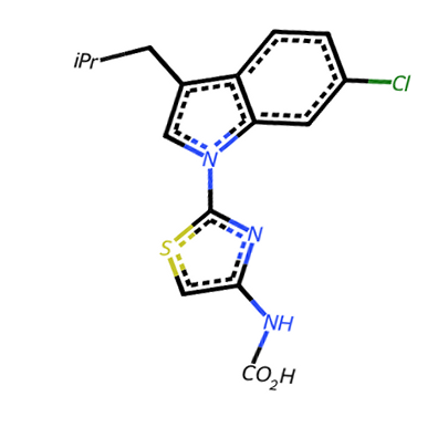 CC(C)Cc1cn(-c2nc(NC(=O)O)cs2)c2cc(Cl)ccc12